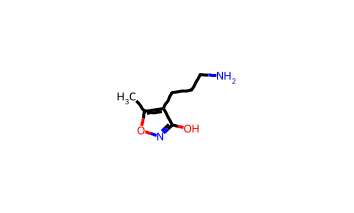 Cc1onc(O)c1CCCN